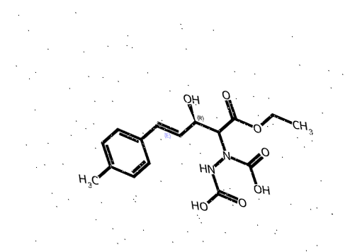 CCOC(=O)C([C@H](O)/C=C/c1ccc(C)cc1)N(NC(=O)O)C(=O)O